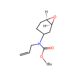 C=CCN(C(=O)OC(C)(C)C)C1CC[C@H]2O[C@H]2C1